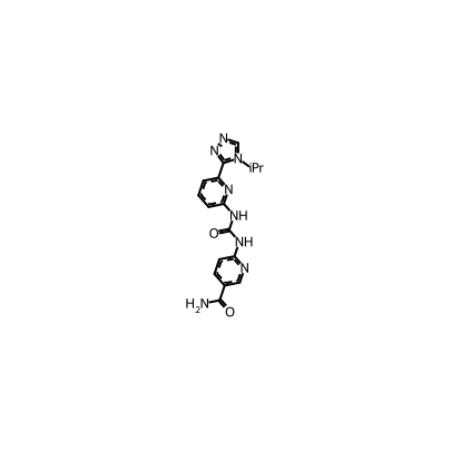 CC(C)n1cnnc1-c1cccc(NC(=O)Nc2ccc(C(N)=O)cn2)n1